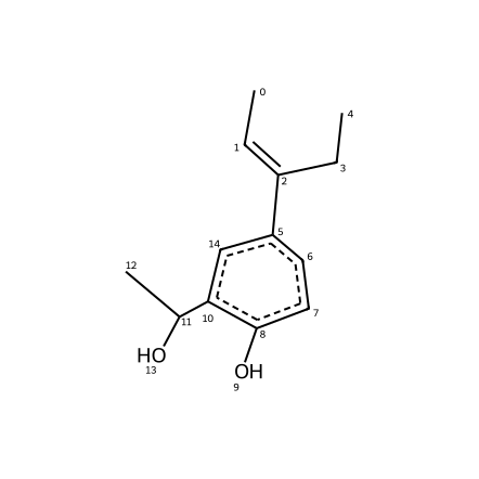 CC=C(CC)c1ccc(O)c(C(C)O)c1